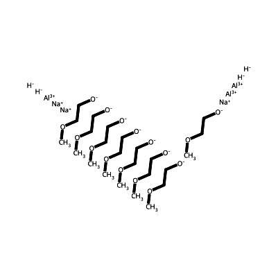 COCC[O-].COCC[O-].COCC[O-].COCC[O-].COCC[O-].COCC[O-].COCC[O-].COCC[O-].[Al+3].[Al+3].[Al+3].[H-].[H-].[H-].[H-].[Na+].[Na+].[Na+]